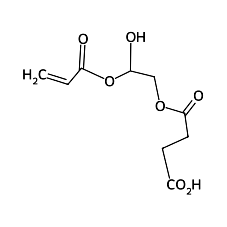 C=CC(=O)OC(O)COC(=O)CCC(=O)O